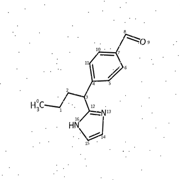 CCCC(c1ccc(C=O)cc1)c1ncc[nH]1